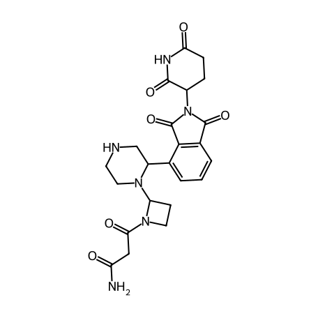 NC(=O)CC(=O)N1CCC1N1CCNCC1c1cccc2c1C(=O)N(C1CCC(=O)NC1=O)C2=O